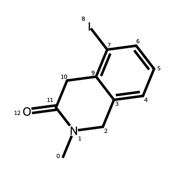 CN1Cc2cccc(I)c2CC1=O